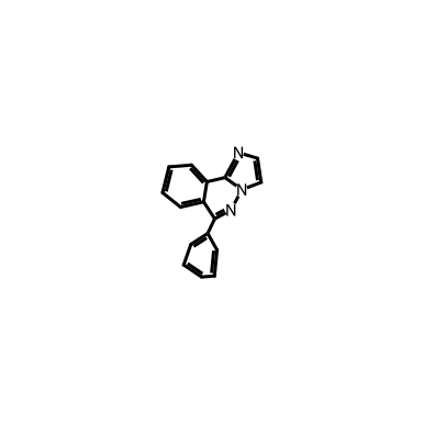 c1ccc(-c2nn3ccnc3c3ccccc23)cc1